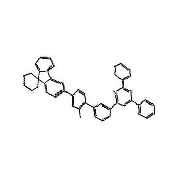 Cc1cc(-c2ccc3c(c2)-c2ccccc2C32CCCCC2)ccc1-c1cccc(-c2cc(-c3ccccc3)nc(C3=CC=CCC3)n2)c1